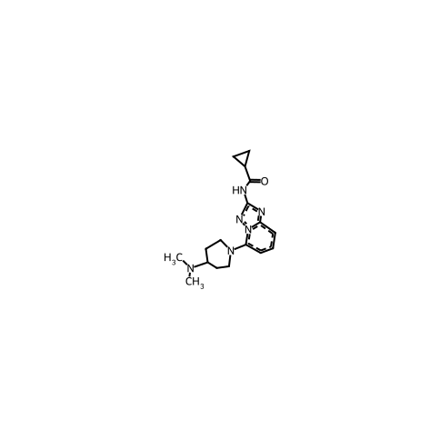 CN(C)C1CCN(c2cccc3nc(NC(=O)C4CC4)nn23)CC1